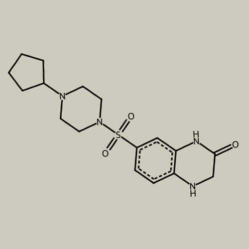 O=C1CNc2ccc(S(=O)(=O)N3CCN(C4CCCC4)CC3)cc2N1